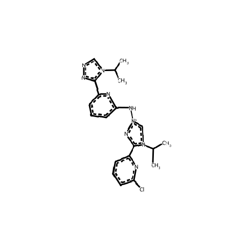 CC(C)n1cnnc1-c1cccc(N[n+]2cn(C(C)C)c(-c3cccc(Cl)n3)n2)n1